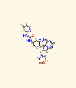 Cc1ccnc(NC(=O)Nc2ccc(-c3c(CN4CCOCC4)cn4ncnc(N)c34)cc2)c1